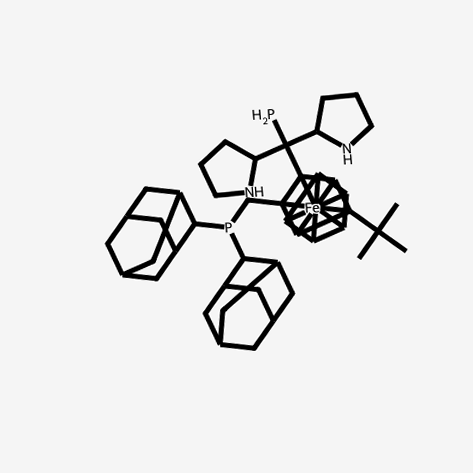 CC(C)(C)[C]12[CH]3[C]4(CP(C5C6CC7CC(C6)CC5C7)C5C6CC7CC(C6)CC5C7)[C]5(C(P)(C6CCCN6)C6CCCN6)[CH]1[Fe]34251678[CH]2[CH]1[CH]6[CH]7[CH]28